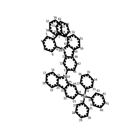 c1ccc(-c2ccccc2-n2c3cc(-n4c5ccccc5c5ccc([Si](c6ccccc6)(c6ccccc6)c6ccccc6)cc54)ccc3c3cccc(-c4ccccc4)c32)cc1